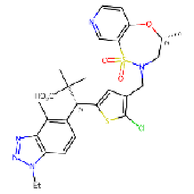 CCn1nnc2c(C)c([C@@H](c3cc(CN4C[C@@H](C)Oc5ccncc5S4(=O)=O)c(Cl)s3)C(C)(C)C(=O)O)ccc21